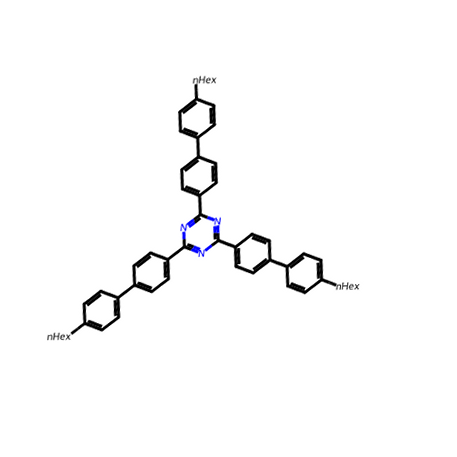 CCCCCCc1ccc(-c2ccc(-c3nc(-c4ccc(-c5ccc(CCCCCC)cc5)cc4)nc(-c4ccc(-c5ccc(CCCCCC)cc5)cc4)n3)cc2)cc1